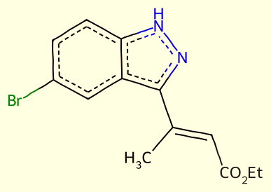 CCOC(=O)/C=C(\C)c1n[nH]c2ccc(Br)cc12